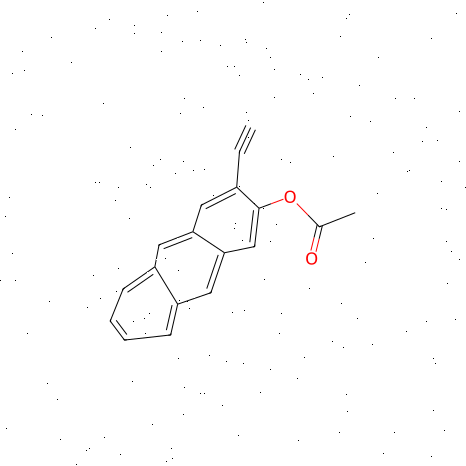 C#Cc1cc2cc3ccccc3cc2cc1OC(C)=O